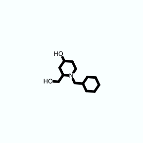 OCC1CC(O)CCN1CC1CCCCC1